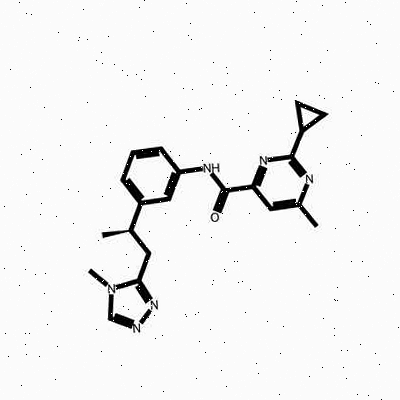 Cc1cc(C(=O)Nc2cccc([C@H](C)Cc3nncn3C)c2)nc(C2CC2)n1